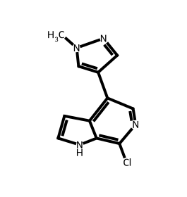 Cn1cc(-c2cnc(Cl)c3[nH]ccc23)cn1